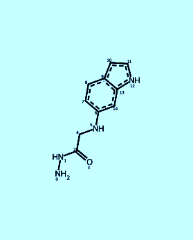 NNC(=O)CNc1ccc2cc[nH]c2c1